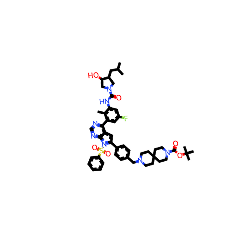 Cc1c(NC(=O)N2CC(O)C(CC(C)C)C2)cc(F)cc1-c1ncnc2c1cc(-c1ccc(CN3CCC4(CC3)CCN(C(=O)OC(C)(C)C)CC4)cc1)n2S(=O)(=O)c1ccccc1